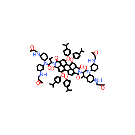 CC(C)c1ccc(Oc2cc3c4c(cc(Oc5ccc(C(C)C)cc5)c5c6c(Oc7ccc(C(C)C)cc7)cc7c8c(cc(Oc9ccc(C(C)C)cc9)c(c2c45)c86)C(=O)N(C(C(=O)N(C2CCCC(NCC4CO4)C2)C2CCCC(NCC4CO4)C2)C(C)C)C7=O)C(=O)N(C(C(=O)N(C2CCCC(NCC4CO4)C2)C2CCCC(NCC4CO4)C2)C(C)C)C3=O)cc1